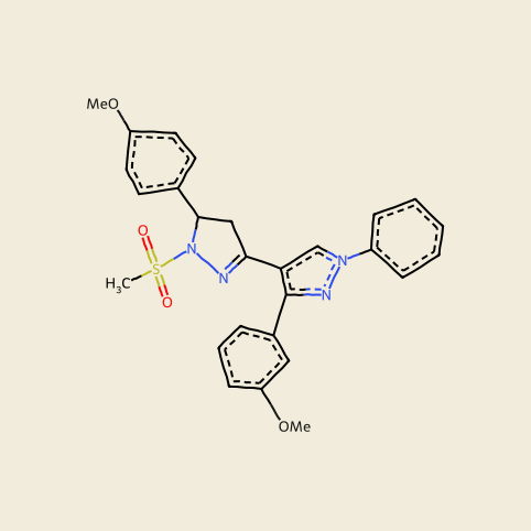 COc1ccc(C2CC(c3cn(-c4ccccc4)nc3-c3cccc(OC)c3)=NN2S(C)(=O)=O)cc1